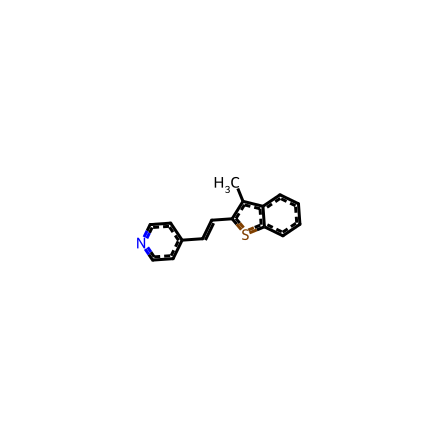 Cc1c(/C=C/c2ccncc2)sc2ccccc12